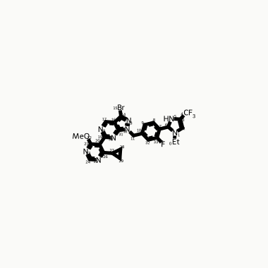 CCN1C=C(C(F)(F)F)NC1c1ccc(Cn2nc(Br)c3cnc(-c4c(OC)ncnc4C4CC4)nc32)cc1F